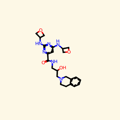 O=C(NCC(O)CN1CCc2ccccc2C1)c1cc(NC2COC2)nc(NC2COC2)n1